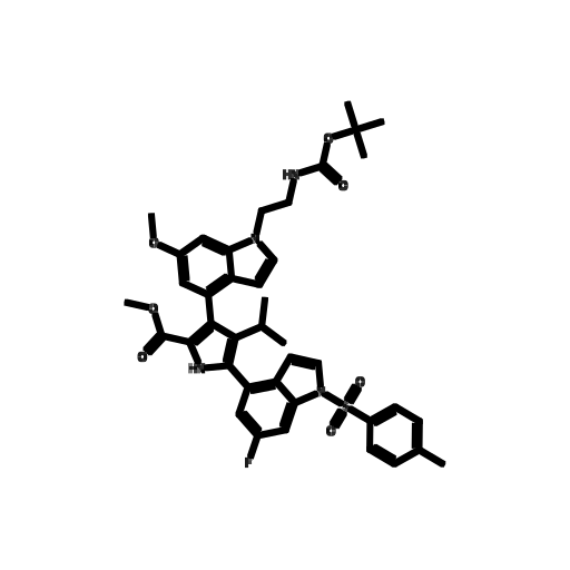 COC(=O)c1[nH]c(-c2cc(F)cc3c2ccn3S(=O)(=O)c2ccc(C)cc2)c(C(C)C)c1-c1cc(OC)cc2c1ccn2CCNC(=O)OC(C)(C)C